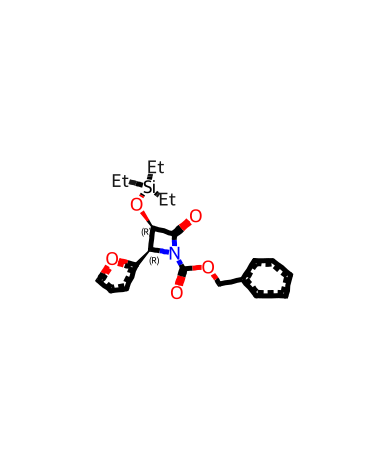 CC[Si](CC)(CC)O[C@H]1C(=O)N(C(=O)OCc2ccccc2)[C@H]1c1ccco1